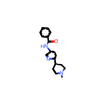 CN1CCC(c2ccc(NC(=O)c3ccccc3)cn2)CC1